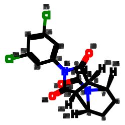 CC(=O)N1[C@@H]2CC[C@H]1[C@H]1C(=O)N(c3cc(Cl)cc(Cl)c3)C(=O)[C@H]12